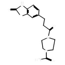 NC(=O)N1CCN(C(=O)[CH]Cc2ccc3[nH]c(=O)oc3c2)CC1